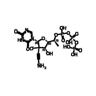 C[C@H](OP(=O)(O)OP(=O)(O)OP(=O)(O)O)[C@H]1O[C@@H](n2cnc(=O)[nH]c2=O)C(Cl)(C#CN)[C@H]1O